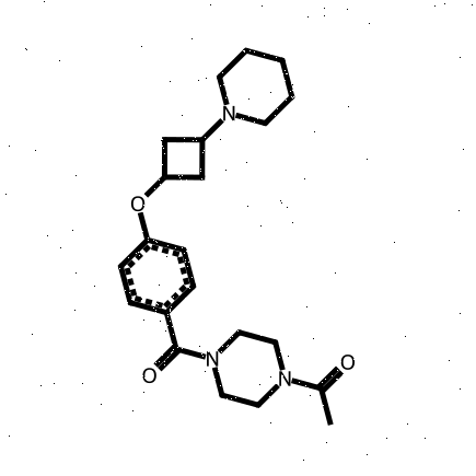 CC(=O)N1CCN(C(=O)c2ccc(OC3CC(N4CCCCC4)C3)cc2)CC1